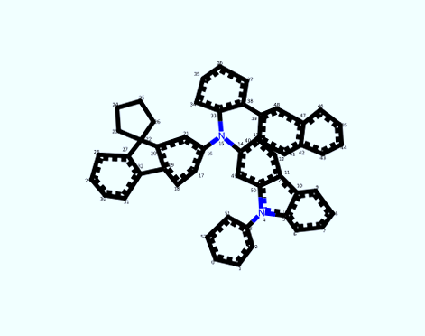 c1ccc(-n2c3ccccc3c3ccc(N(c4ccc5c(c4)C4(CCCC4)c4ccccc4-5)c4ccccc4-c4ccc5ccccc5c4)cc32)cc1